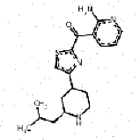 CC(C)C[C@H]1CC(c2csc(C(=O)c3cccnc3N)n2)CCN1